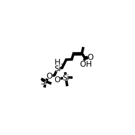 CC(=CCCC[SiH2]C(O[Si](C)(C)C)O[Si](C)(C)C)C(=O)O